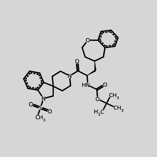 CC(C)(C)OC(=O)N[C@H](C[C@H]1CCOc2ccccc2C1)C(=O)N1CCC2(CC1)CN(S(C)(=O)=O)c1ccccc12